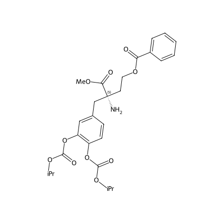 COC(=O)[C@@](N)(CCOC(=O)c1ccccc1)Cc1ccc(OC(=O)OC(C)C)c(OC(=O)OC(C)C)c1